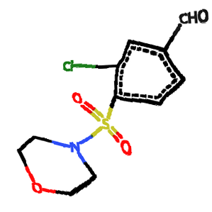 O=Cc1ccc(S(=O)(=O)N2CCOCC2)c(Cl)c1